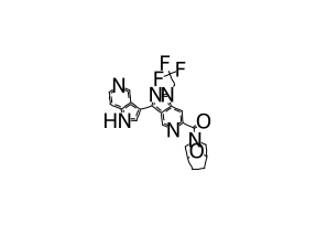 O=C(c1cc2c(cn1)c(-c1c[nH]c3ccncc13)nn2CC(F)(F)F)N1CC2CCC(C1)O2